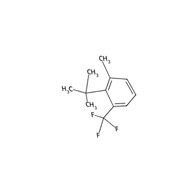 Cc1cccc(C(F)(F)F)c1C(C)(C)C